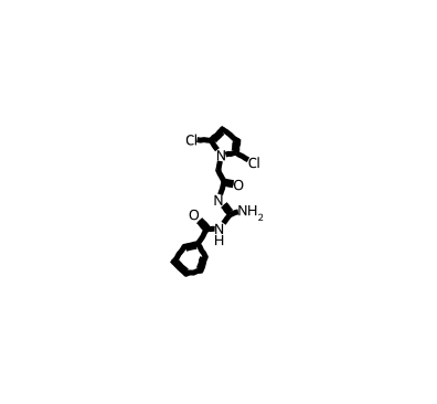 NC(=NC(=O)Cn1c(Cl)ccc1Cl)NC(=O)c1ccccc1